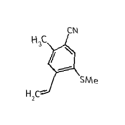 C=Cc1cc(C)c(C#N)cc1SC